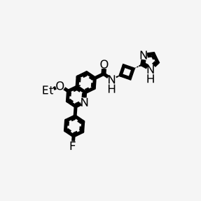 CCOc1cc(-c2ccc(F)cc2)nc2cc(C(=O)N[C@H]3C[C@@H](c4ncc[nH]4)C3)ccc12